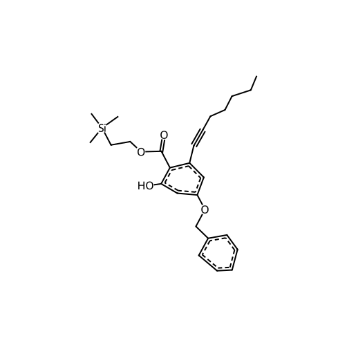 CCCCCC#Cc1cc(OCc2ccccc2)cc(O)c1C(=O)OCC[Si](C)(C)C